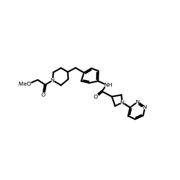 COCC(=O)N1CCC(Cc2ccc(NC(=O)C3CN(c4cccnn4)C3)cc2)CC1